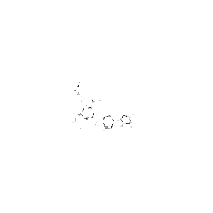 Cn1cc(-c2ccc(Cc3cc(C(N)=O)c(OCC4CC4)c4c3OCC4)cc2)nn1